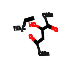 C=CC(=O)O.COC(=O)CC(O)C(=O)OC